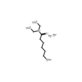 CCCCCCCCCCCCCCCC(=O)N(CC(=O)[O-])CC(=O)[O-].[Na+].[Na+]